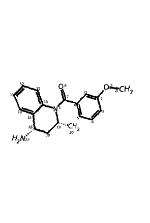 COc1cccc(C(=O)N2c3ccccc3[C@@H](N)C[C@H]2C)c1